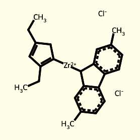 CCC1=CC(CC)=[C]([Zr+2][CH]2c3cc(C)ccc3-c3ccc(C)cc32)C1.[Cl-].[Cl-]